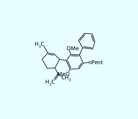 C=C(C)C1CCC(C)=CC1c1c(OC)cc(CCCCC)c(-c2ccccc2)c1OC